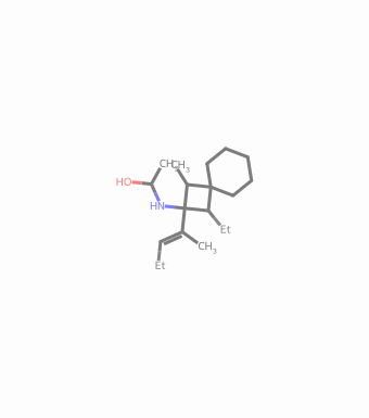 CC/C=C(\C)C1(NC(C)O)C(C)C2(CCCCC2)C1CC